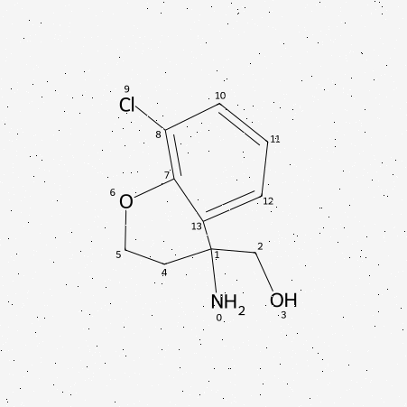 NC1(CO)CCOc2c(Cl)cccc21